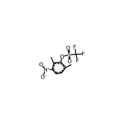 Cc1ccc([N+](=O)[O-])c(C)c1OS(=O)(=O)C(F)(F)F